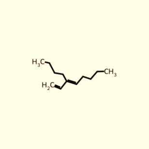 C=C/C(=C/CCCC)CCCC